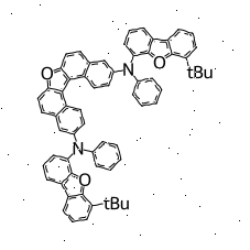 CC(C)(C)c1cccc2c1oc1c(N(c3ccccc3)c3ccc4c(ccc5oc6ccc7cc(N(c8ccccc8)c8cccc9c8oc8c(C(C)(C)C)cccc89)ccc7c6c54)c3)cccc12